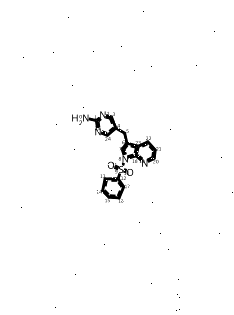 Nc1ncc(Cc2cn(S(=O)(=O)c3ccccc3)c3ncccc23)cn1